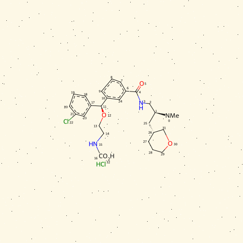 CN[C@H](CNC(=O)c1cccc([C@@H](OCCNC(=O)O)c2cccc(Cl)c2)c1)C[C@H]1CCCOC1.Cl